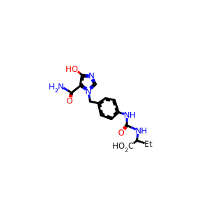 CCC(NC(=O)Nc1ccc(Cn2cnc(O)c2C(N)=O)cc1)C(=O)O